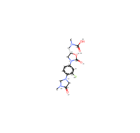 CN(C[C@H]1CN(c2ccc(N3CC(=O)N(C)C3)c(F)c2)C(=O)O1)C(=O)O